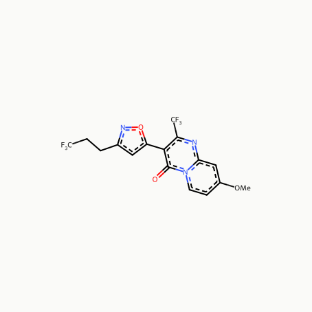 COc1ccn2c(=O)c(-c3cc(CCC(F)(F)F)no3)c(C(F)(F)F)nc2c1